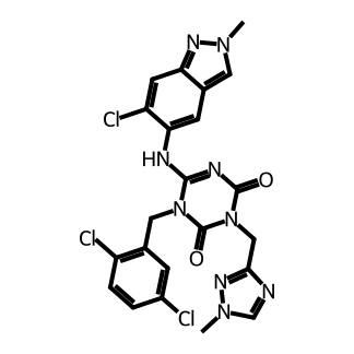 Cn1cnc(Cn2c(=O)nc(Nc3cc4cn(C)nc4cc3Cl)n(Cc3cc(Cl)ccc3Cl)c2=O)n1